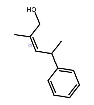 C/C(=C/C(C)c1ccccc1)CO